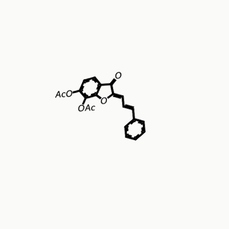 CC(=O)Oc1ccc2c(c1OC(C)=O)OC(=CC=Cc1ccccc1)C2=O